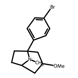 COC1CC2CCC(c3ccc(Br)cc3)(C1)N2C